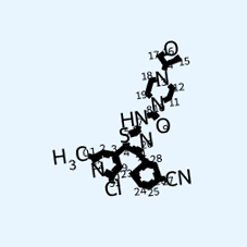 Cc1cc(-c2sc(NC(=O)N3CCN(C4COC4)CC3)nc2-c2cccc(C#N)c2)cc(Cl)n1